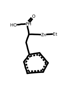 C[CH2][Zn][CH](Cc1ccccc1)[PH](=O)O